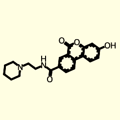 O=C(NCCN1CCCCC1)c1ccc2c(c1)c(=O)oc1cc(O)ccc12